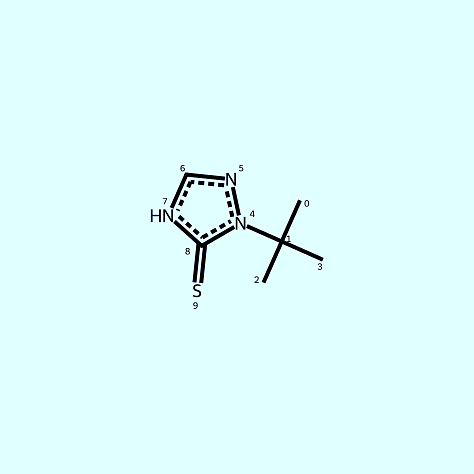 CC(C)(C)n1nc[nH]c1=S